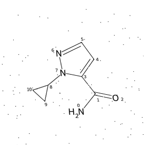 NC(=O)c1ccnn1C1CC1